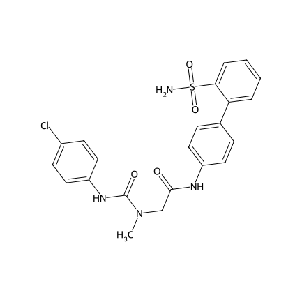 CN(CC(=O)Nc1ccc(-c2ccccc2S(N)(=O)=O)cc1)C(=O)Nc1ccc(Cl)cc1